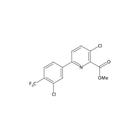 COC(=O)c1nc(-c2ccc(C(F)(F)F)c(Cl)c2)ccc1Cl